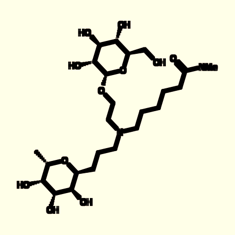 CNC(=O)CCCCCN(CCC[C@@H]1O[C@@H](C)[C@@H](O)[C@@H](O)[C@@H]1O)CCO[C@H]1O[C@H](CO)[C@@H](O)[C@H](O)[C@H]1O